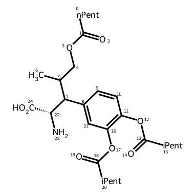 CCCCCC(=O)OCC(C)C(c1ccc(OC(=O)C(C)CCC)c(OC(=O)C(C)CCC)c1)[C@H](N)C(=O)O